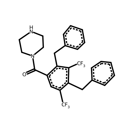 O=C(c1cc(C(F)(F)F)c(Cc2ccccc2)c(C(F)(F)F)c1Cc1ccccc1)N1CCNCC1